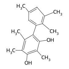 Cc1cc(C)c(C)c(-c2c(C)c(C)c(O)c(C)c2O)c1